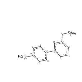 COCc1cccc(-c2ccc(C(=O)O)cc2)c1